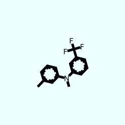 Cc1cccc(N(C)c2cccc(C(F)(F)F)c2)c1